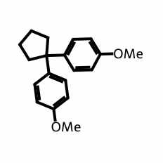 COc1ccc(C2(c3ccc(OC)cc3)CCCC2)cc1